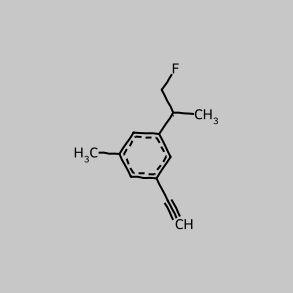 C#Cc1cc(C)cc([C](C)CF)c1